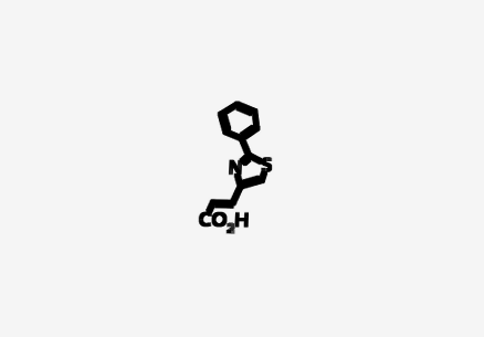 O=C(O)C=Cc1csc(-c2ccccc2)n1